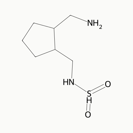 NCC1CCCC1CN[SH](=O)=O